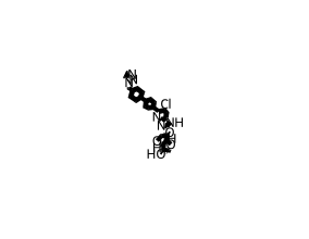 O[C@@H]1CO[C@H]2[C@@H]1OC[C@H]2Oc1nc2nc(-c3ccc(-c4ccc(Cn5ccnn5)cc4)cc3)c(Cl)cc2[nH]1